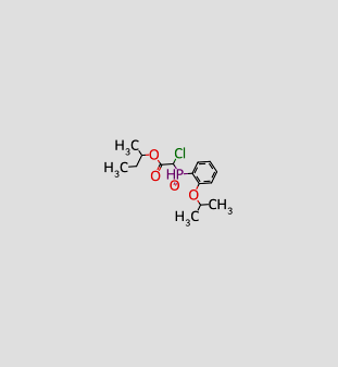 CCC(C)OC(=O)C(Cl)[PH](=O)c1ccccc1OC(C)C